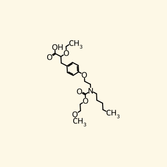 CCCCCN(CCOc1ccc(CC(OCC)C(=O)O)cc1)C(=O)OCCOC